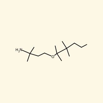 CCCC(C)(C)C(C)(C)OCCC(C)(C)N